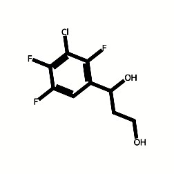 OCCC(O)c1cc(F)c(F)c(Cl)c1F